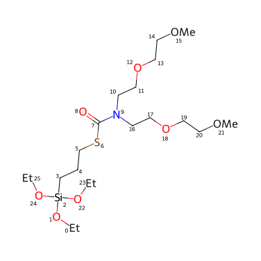 CCO[Si](CCCSC(=O)N(CCOCCOC)CCOCCOC)(OCC)OCC